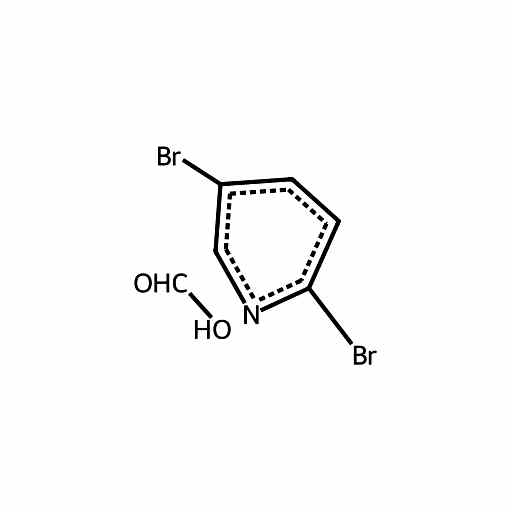 Brc1ccc(Br)nc1.O=CO